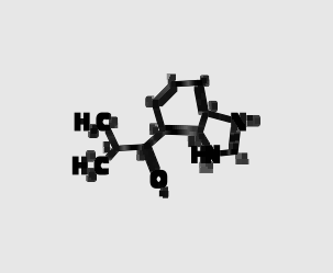 CC(C)C(=O)c1cccc2nc[nH]c12